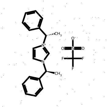 C[C@@H](c1ccccc1)n1cc[n+]([C@@H](C)c2ccccc2)c1.O=S(=O)([O-])C(F)(F)F